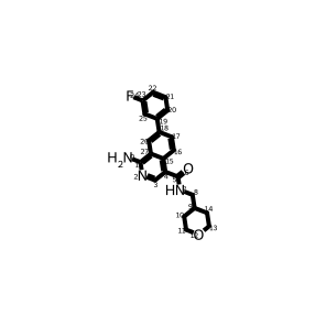 Nc1ncc(C(=O)NCC2CCOCC2)c2ccc(-c3cccc(F)c3)cc12